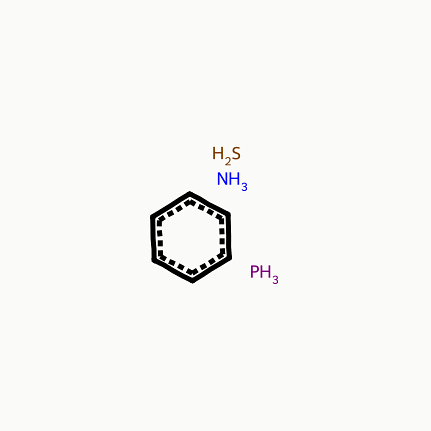 N.P.S.c1ccccc1